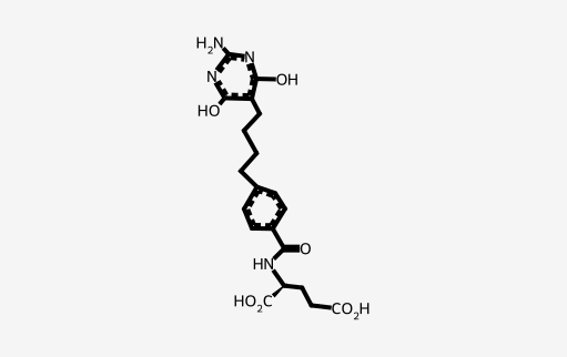 Nc1nc(O)c(CCCCc2ccc(C(=O)N[C@@H](CCC(=O)O)C(=O)O)cc2)c(O)n1